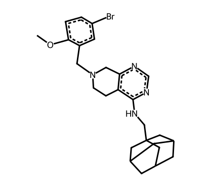 COc1ccc(Br)cc1CN1CCc2c(ncnc2NCC23CC4CC(CC(C4)C2)C3)C1